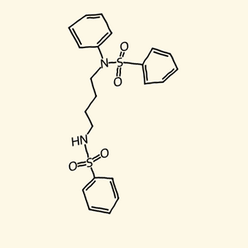 O=S(=O)(NCCCCN(c1ccccc1)S(=O)(=O)c1ccccc1)c1ccccc1